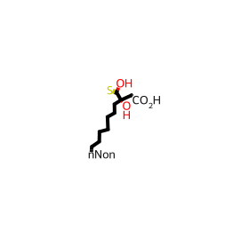 CCCCCCCCCCCCCCCCC(O)(CC(=O)O)C(O)=S